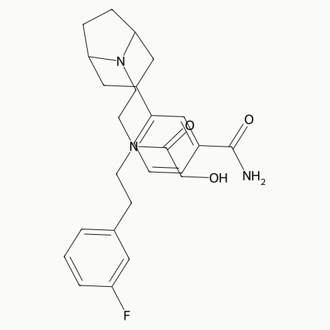 NC(=O)c1cccc(C2CC3CCC(C2)N3CCN(CCc2cccc(F)c2)C(=O)CO)c1